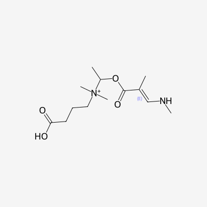 CN/C=C(\C)C(=O)OC(C)[N+](C)(C)CCCC(=O)O